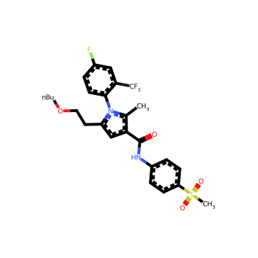 CCCCOCCc1cc(C(=O)Nc2ccc(S(C)(=O)=O)cc2)c(C)n1-c1ccc(F)cc1C(F)(F)F